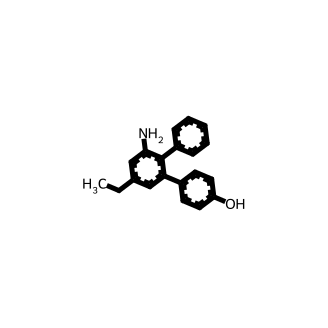 CCc1cc(N)c(-c2ccccc2)c(-c2ccc(O)cc2)c1